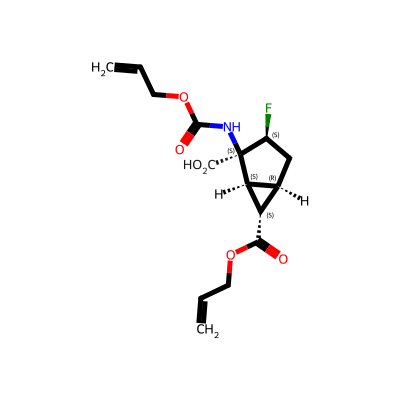 C=CCOC(=O)N[C@]1(C(=O)O)[C@H]2[C@@H](C[C@@H]1F)[C@@H]2C(=O)OCC=C